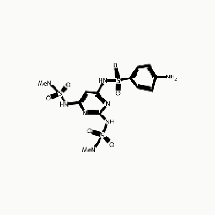 CNS(=O)(=O)Nc1cc(NS(=O)(=O)c2ccc(N)cc2)nc(NS(=O)(=O)NC)n1